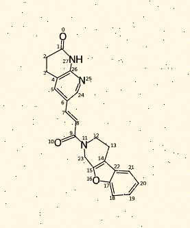 O=C1CCc2cc(/C=C/C(=O)N3CCc4c(oc5ccccc45)C3)cnc2N1